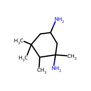 CC1C(C)(C)CC(N)CC1(C)N